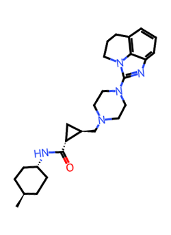 C[C@H]1CC[C@H](NC(=O)[C@@H]2C[C@H]2CN2CCN(c3nc4cccc5c4n3CCC5)CC2)CC1